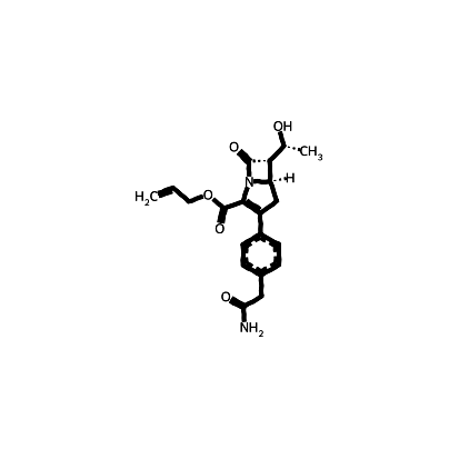 C=CCOC(=O)C1=C(c2ccc(CC(N)=O)cc2)C[C@@H]2[C@@H]([C@@H](C)O)C(=O)N12